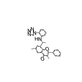 Cc1cc(C(C)Nc2ccccc2-n2cnnn2)c2oc(-c3ccccc3)c(C)c(=O)c2c1